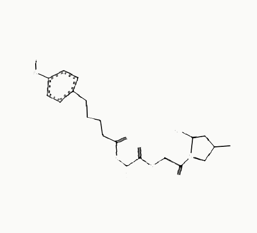 CC1CC(C#N)N(C(=O)CNC(=O)[C@H](C)NC(=O)CCCCc2ccc(NC=O)cc2)C1